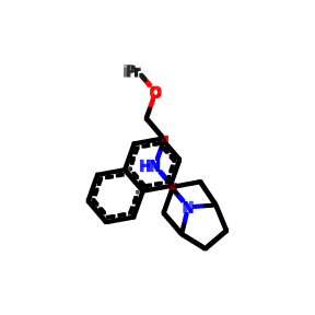 CC(C)OCCNC1CC2CCC(C1)N2c1cccc2ccccc12